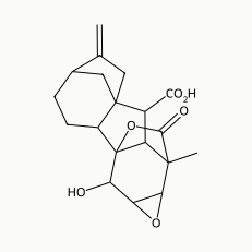 C=C1CC23CC1CCC2C12OC(=O)C(C)(C4OC4C1O)C2C3C(=O)O